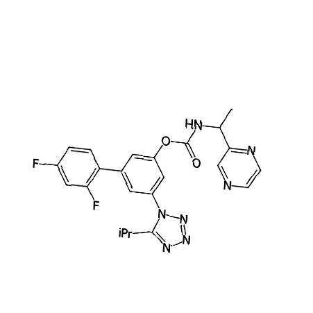 CC(C)c1nnnn1-c1cc(OC(=O)NC(C)c2cnccn2)cc(-c2ccc(F)cc2F)c1